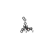 C=C(/C=c1/cccc/c1=C/C)c1nc(-c2ccc(-c3ccc4ccccc4c3)cc2)nc(-c2ccc3ccccc3c2)n1